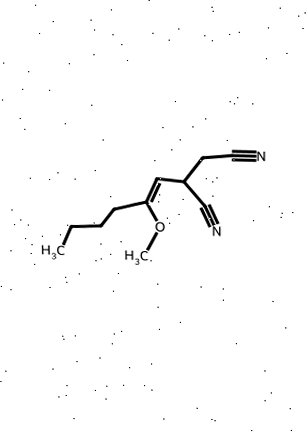 CCCC/C(=C/C(C#N)CC#N)OC